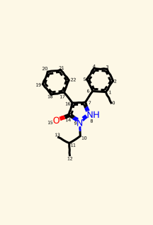 Cc1ccccc1-c1[nH]n(CC(C)C)c(=O)c1-c1ccccc1